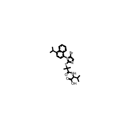 CC(C)c1ccc(-n2c(Br)cnc2SC(C)(C)C(=O)NC(C(=O)O)C(C)C)c2ccccc12